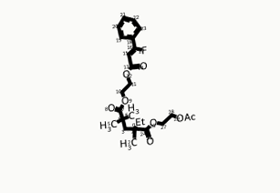 CCC(C)(CC(C)(C)C(=O)OCCOC(=O)/C=C(\F)c1ccccc1)C(=O)OCCOC(C)=O